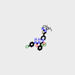 CN=c1sc(C2CCN(C(=O)[C@H](NC(=O)Nc3ccc(Cl)cc3)c3ccccc3)CC2)cn1C.Cl